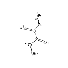 [CH2][C@H](C)CC(=N)C(=O)OC(C)(C)C